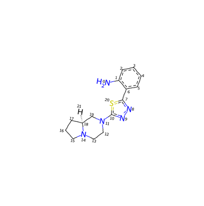 Nc1ccccc1-c1nnc(N2CCN3CCC[C@H]3C2)s1